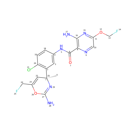 C[C@@]1(c2cc(NC(=O)c3ncc(OCF)nc3N)ccc2Cl)C=C(CF)OC(N)=N1